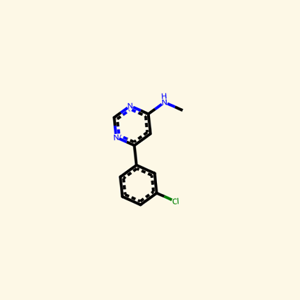 CNc1cc(-c2cccc(Cl)c2)ncn1